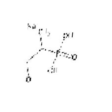 CC(C[O-])P(=O)(O)O.[Na+]